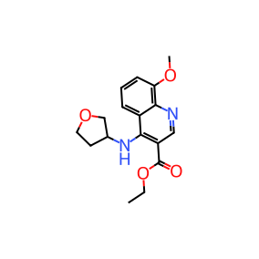 CCOC(=O)c1cnc2c(OC)cccc2c1NC1CCOC1